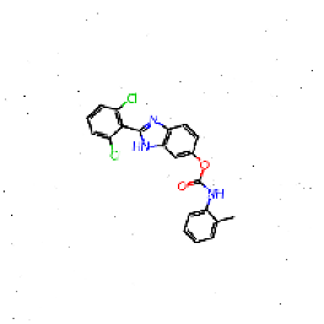 Cc1ccccc1NC(=O)Oc1ccc2nc(-c3c(Cl)cccc3Cl)[nH]c2c1